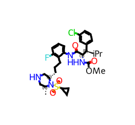 COC(=O)N[C@H](C(=O)Nc1cccc(F)c1CCC[C@H]1CNC[C@@H](C)N1S(=O)(=O)C1CC1)[C@@H](c1cccc(Cl)c1)C(C)C